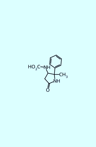 CC1(c2ccccc2)NC(=O)CC1NC(=O)O